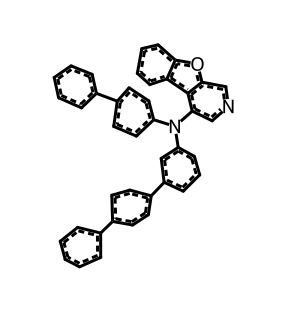 c1ccc(-c2ccc(-c3cccc(N(c4ccc(-c5ccccc5)cc4)c4cncc5oc6ccccc6c45)c3)cc2)cc1